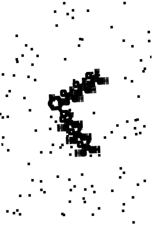 N#Cc1ccncc1.[O]=[Sb]([OH])([OH])[F].[O]=[Sb]([OH])([OH])[F].[O]=[Sb]([OH])([OH])[F].[O]=[Sb]([OH])([OH])[F].[O]=[Sb]([OH])([OH])[F].[O]=[Sb]([OH])([OH])[F]